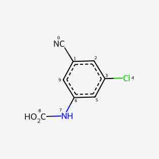 N#Cc1cc(Cl)cc(NC(=O)O)c1